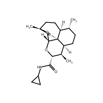 C[C@H]1[C@H](C(=O)NC2CC2)O[C@@H]2O[C@@]3(C)CC[C@H]4[C@H](C)CC[C@@H]1[C@@]24OO3